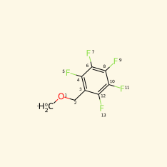 [CH2]OCc1c(F)c(F)c(F)c(F)c1F